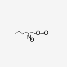 CCCCC(CCOC=O)N=O